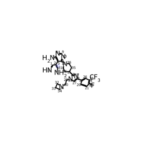 N=C/C(=C\N)c1c(N)ncnc1N1CCC(c2nc(-c3ccc(F)c(C(F)(F)F)c3)cn2CCN2CCC2)CC1